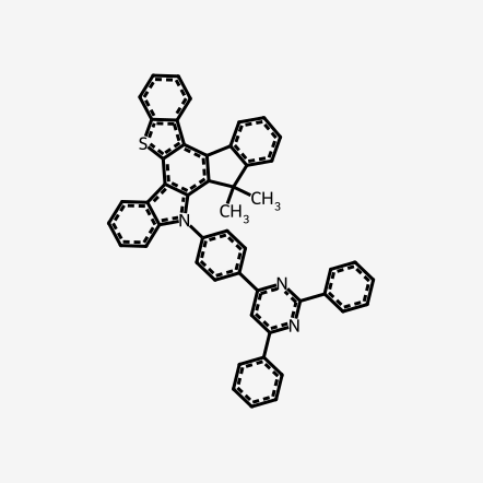 CC1(C)c2ccccc2-c2c1c1c(c3ccccc3n1-c1ccc(-c3cc(-c4ccccc4)nc(-c4ccccc4)n3)cc1)c1sc3ccccc3c21